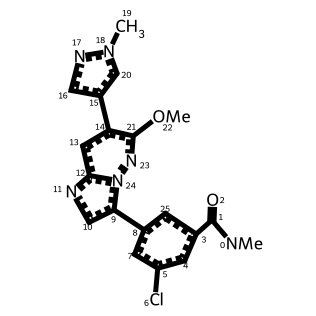 CNC(=O)c1cc(Cl)cc(-c2cnc3cc(-c4cnn(C)c4)c(OC)nn23)c1